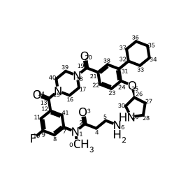 CN(C(=O)CCN)c1cc(F)cc(C(=O)N2CCN(C(=O)c3ccc(O[C@H]4CCNC4)c(C4CCCCC4)c3)CC2)c1